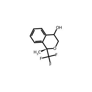 C[C@]1(C(F)(F)F)OCC(O)c2ccccc21